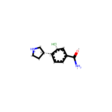 Cl.NC(=O)c1ccc([C@@H]2CCNC2)cc1